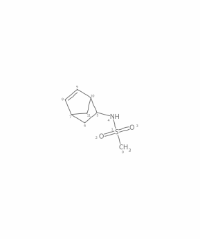 CS(=O)(=O)NC1CC2C=CC1C2